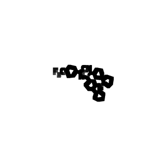 N#C/C(=N\[C@H](Cc1ccccc1)c1ccc2c3ccccc3n(-c3ccccc3)c2c1)c1ccc(C(F)(F)F)cc1